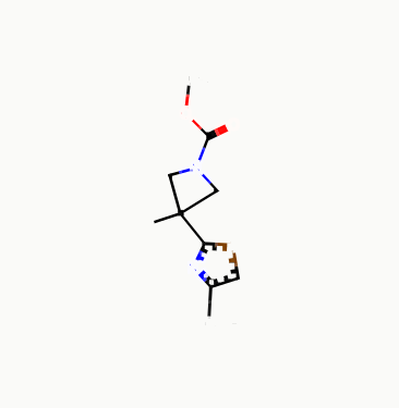 CCOC(=O)c1csc(C2(C)CN(C(=O)OC(C)(C)C)C2)n1